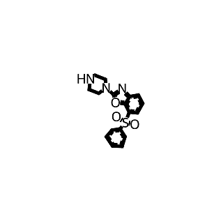 O=S(=O)(c1ccccc1)c1cccc2nc(N3CCNCC3)oc12